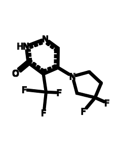 O=c1[nH]ncc(N2CCC(F)(F)C2)c1C(F)(F)F